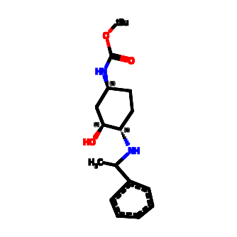 CC(N[C@H]1CC[C@H](NC(=O)OC(C)(C)C)C[C@@H]1O)c1ccccc1